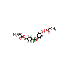 C=CC(=O)OCOc1ccc(OC(F)(F)c2ccc(COC(=O)C=C)cc2)cc1